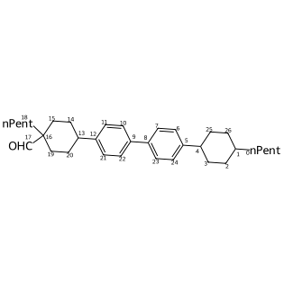 CCCCCC1CCC(c2ccc(-c3ccc(C4CCC(C=O)(CCCCC)CC4)cc3)cc2)CC1